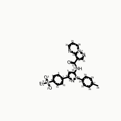 CCS(=O)(=O)c1ccc(-c2cc(NC(=O)c3cnn4cccnc34)n(-c3ccc(C)cc3)n2)cc1